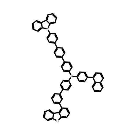 c1cc(-c2ccc(N(c3ccc(-c4ccc(-c5ccc(-n6c7ccccc7c7ccccc76)cc5)cc4)cc3)c3ccc(-c4cccc5ccccc45)cc3)cc2)cc(-c2cccc3oc4ccccc4c23)c1